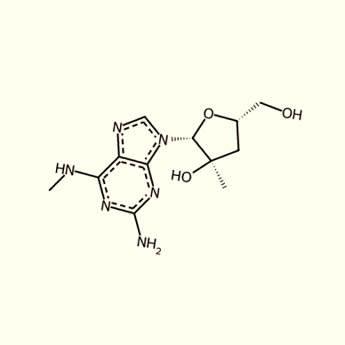 CNc1nc(N)nc2c1ncn2[C@@H]1O[C@H](CO)C[C@@]1(C)O